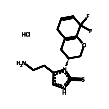 Cl.NCCc1c[nH]c(=S)n1[C@H]1COC2=C(CC=CC2(F)F)C1